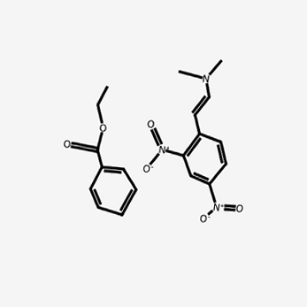 CCOC(=O)c1ccccc1.CN(C)C=Cc1ccc([N+](=O)[O-])cc1[N+](=O)[O-]